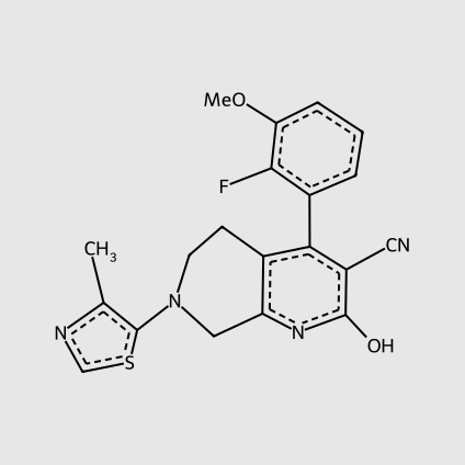 COc1cccc(-c2c(C#N)c(O)nc3c2CCN(c2scnc2C)C3)c1F